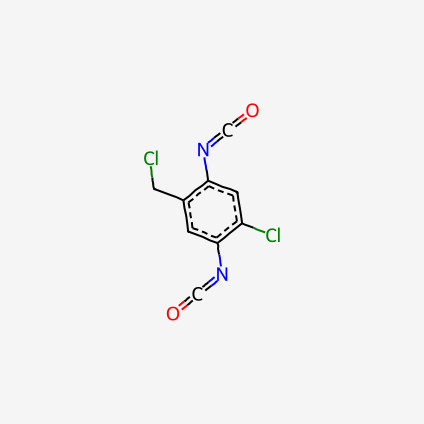 O=C=Nc1cc(CCl)c(N=C=O)cc1Cl